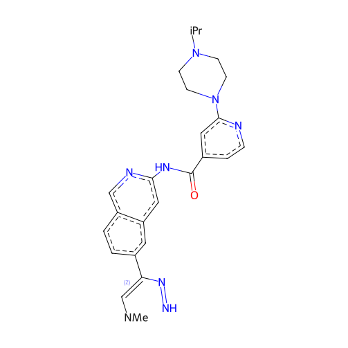 CN/C=C(\N=N)c1ccc2cnc(NC(=O)c3ccnc(N4CCN(C(C)C)CC4)c3)cc2c1